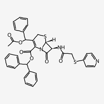 CC(=O)OC(C1=C(C(=O)OC(c2ccccc2)c2ccccc2)N2C(=O)[C@H](NC(=O)CSc3ccncc3)[C@H]2SC1)c1ccccc1